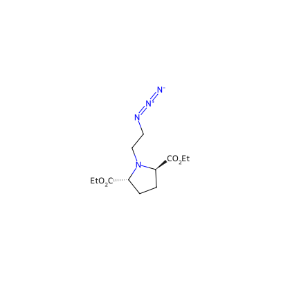 CCOC(=O)[C@H]1CC[C@H](C(=O)OCC)N1CCN=[N+]=[N-]